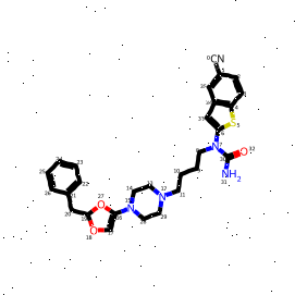 N#Cc1ccc2sc(N(CCCCN3CCN(C4=COC(Cc5ccccc5)O4)CC3)C(N)=O)cc2c1